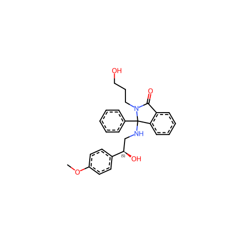 COc1ccc([C@H](O)CNC2(c3ccccc3)c3ccccc3C(=O)N2CCCO)cc1